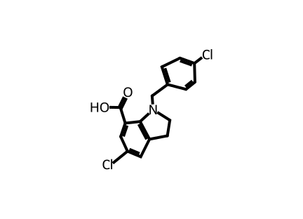 O=C(O)c1cc(Cl)cc2c1N(Cc1ccc(Cl)cc1)CC2